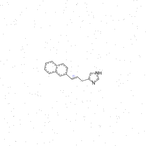 C(=C\c1ccc2ccccc2c1)/Cc1c[nH]cn1